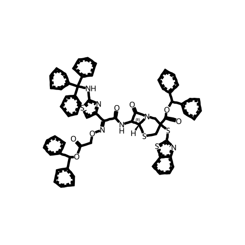 O=C(CON=C(C(=O)NC1C(=O)N2CC(Sc3nc4ccccc4s3)(C(=O)OC(c3ccccc3)c3ccccc3)CS[C@H]12)c1csc(NC(c2ccccc2)(c2ccccc2)c2ccccc2)n1)OC(c1ccccc1)c1ccccc1